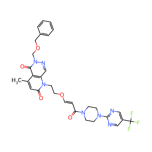 Cc1cc(=O)n(CCO/C=C/C(=O)N2CCN(c3ncc(C(F)(F)F)cn3)CC2)c2cnn(COCc3ccccc3)c(=O)c12